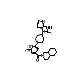 O=C(c1cc(N2CCC(n3c(=O)[nH]c4ncccc43)CC2)[nH]c(=O)c1)N1CCC2CCCCC2C1